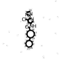 O=C(Nc1cnc(-n2nccn2)c(Cl)c1)C1CCCCC(C2CCCCCCC2)CCC1